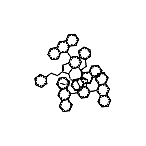 C[SiH](C)[Zr]([CH]1C(CCc2ccccc2)=Cc2c(-c3c4ccccc4cc4ccccc34)ccc(-c3c4ccccc4cc4ccccc34)c21)[CH]1C(CCc2ccccc2)=Cc2c(-c3c4ccccc4cc4ccccc34)ccc(-c3c4ccccc4cc4ccccc34)c21